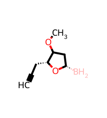 B[C@H]1CC(OC)[C@@H](CC#C)O1